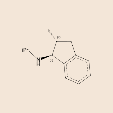 CC(C)N[C@@H]1c2ccccc2C[C@H]1C